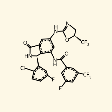 O=C(Nc1cc(NC2=NC[C@@H](C(F)(F)F)O2)cc2c1[C@@H](c1cc(F)ccc1Cl)NC2=O)c1cc(F)cc(C(F)(F)F)c1